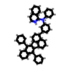 c1ccc(-c2c3c(c(-c4ccccc4)c4ccccc24)-c2ccc(-c4cccc(N(c5ccccc5)c5nccc6ccccc56)c4)c4cccc-3c24)cc1